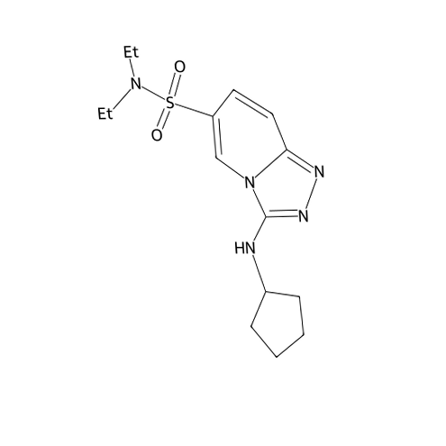 CCN(CC)S(=O)(=O)c1ccc2nnc(NC3CCCC3)n2c1